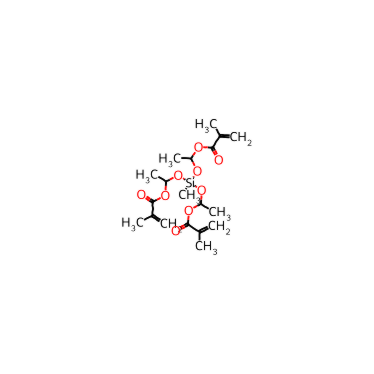 C=C(C)C(=O)OC(C)O[Si](C)(OC(C)OC(=O)C(=C)C)OC(C)OC(=O)C(=C)C